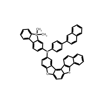 C[Si]1(C)c2ccccc2-c2ccc(N(c3ccc(-c4ccc5ccccc5c4)cc3)c3ccc4oc5ccc6sc7c8ccccc8ccc7c6c5c4c3)cc21